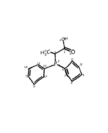 CC(C(=O)O)P(c1ccccc1)c1ccccc1